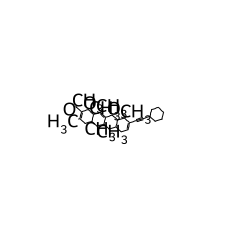 CC(=O)C1=C(C)CC2(C)CC3(C)CC4CC=C(C#CC5CCCCC5)C(C)C4C(=O)C3=C(C)C2(C)C1=O